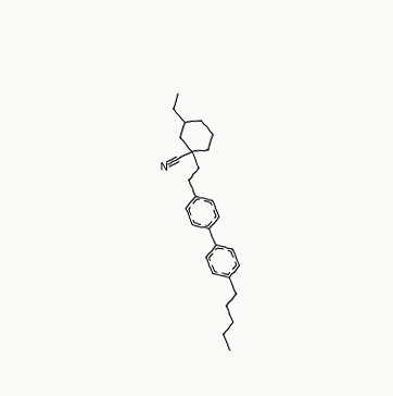 CCCCCc1ccc(-c2ccc(CCC3(C#N)CCCC(CC)C3)cc2)cc1